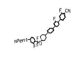 CCCCCc1ccc(C(F)(F)OC2CCC(c3ccc(-c4ccc(-c5ccc(C#N)c(F)c5)c(F)c4)cc3)CC2)c(F)c1